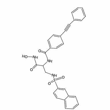 O=C(NC(CNS(=O)(=O)c1ccc2ccccc2c1)C(=O)NO)c1ccc(C#Cc2ccccc2)cc1